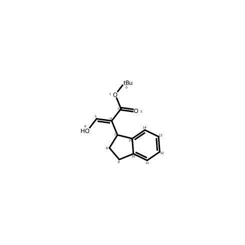 CC(C)(C)OC(=O)/C(=C/O)C1CCc2ccccc21